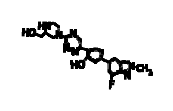 Cn1cc2cc(-c3ccc(-c4cnc(N5CCNC(CO)C5)nn4)c(O)c3)cc(F)c2n1